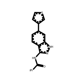 CC(C)C(=O)Nc1n[nH]c2cc(-c3ccsc3)ccc12